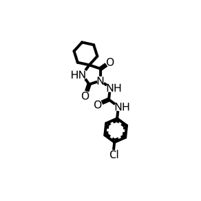 O=C(Nc1ccc(Cl)cc1)NN1C(=O)NC2(CCCCC2)C1=O